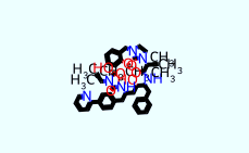 COc1ccccc1CN1CCN(C(C(=O)NC(Cc2ccccc2)C(O)CC(Cc2ccc(-c3ccccn3)cc2)NC(=O)N(CC(C)(C)C)C(=O)O)C(C)(C)C)C1=O